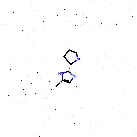 CC1=CNC([C@@H]2CCCN2)N1